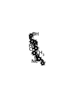 Cc1c(-c2nc3cc(CN4CCCC4)cc(C#N)c3o2)cccc1-c1cccc(Nc2nccc3cc(CN4CC[C@H](O)C4)cnc23)c1Cl